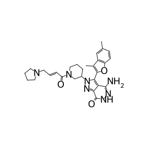 Cc1ccc2oc(-c3c4c(N)n[nH]c(=O)c4nn3C3CCCN(C(=O)/C=C/CN4CCCC4)C3)c(C)c2c1